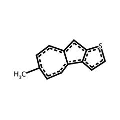 Cc1ccc2cc3sccc3c-2cc1